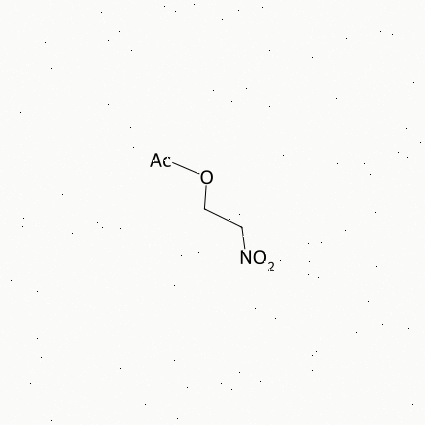 CC(=O)OCC[N+](=O)[O-]